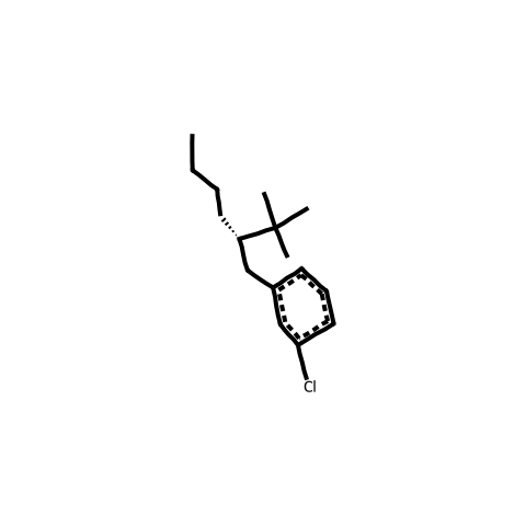 CCCC[C@@H](Cc1cccc(Cl)c1)C(C)(C)C